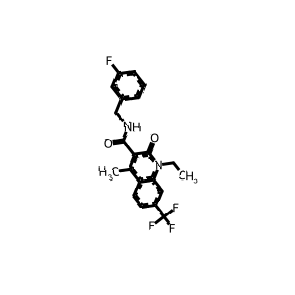 CCn1c(=O)c(C(=O)NCc2cccc(F)c2)c(C)c2ccc(C(F)(F)F)cc21